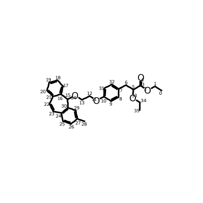 CCOC(=O)C(Cc1ccc(OCCOC2c3ccccc3C=Cc3ccc(C)cc32)cc1)OCC